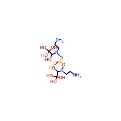 NCCN(OS(=O)ON(CCN)C(O)C(O)(O)O)C(O)C(O)(O)O